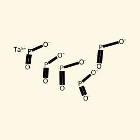 O=P[O-].O=P[O-].O=P[O-].O=P[O-].O=P[O-].[Ta+5]